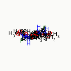 COC(=O)N[C@H](C(=O)N1C[C@H](F)C[C@H]1c1nc2cc(-c3cc4ccc3CCc3ccc(c(-c5ccc6[nH]c([C@@H]7C[C@@H](F)CN7C(=O)[C@@H](NC(=O)OC)C(C)C)nc6c5)c3)C[C@H]4C)ccc2[nH]1)C(C)C